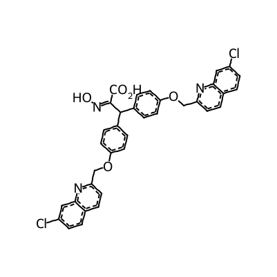 O=C(O)/C(=N\O)C(c1ccc(OCc2ccc3ccc(Cl)cc3n2)cc1)c1ccc(OCc2ccc3ccc(Cl)cc3n2)cc1